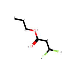 CCCOC(=O)CC(F)F